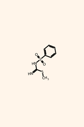 CSC(=N)NS(=O)(=O)c1ccccc1